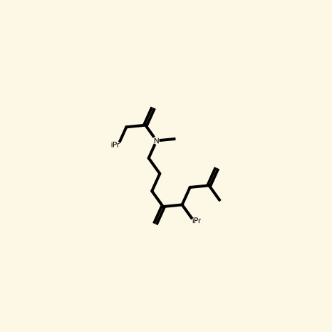 C=C(C)CC(C(=C)CCCN(C)C(=C)CC(C)C)C(C)C